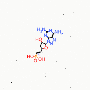 Nc1nc(N)c2nnn(C3OC(/C=C/P(=O)(O)O)CC3O)c2n1